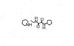 O=C(NCC[C@H]1CCCCN1)C(=O)NC1CCCC1